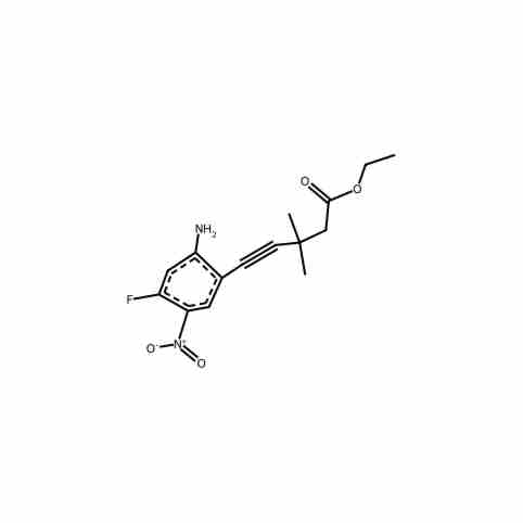 CCOC(=O)CC(C)(C)C#Cc1cc([N+](=O)[O-])c(F)cc1N